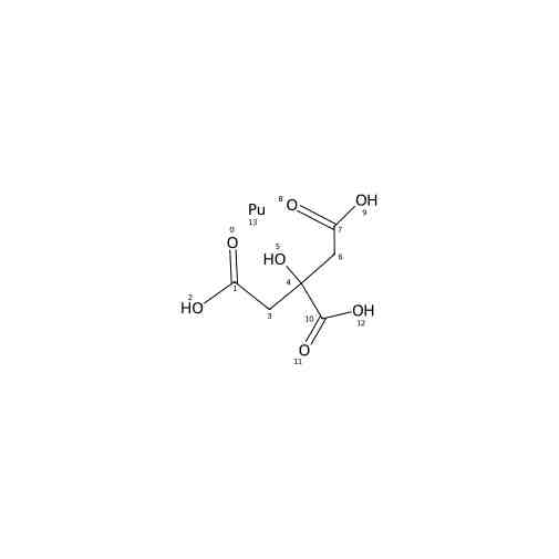 O=C(O)CC(O)(CC(=O)O)C(=O)O.[Pu]